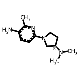 Cc1nc(N2CC[C@@H](N(C)C)C2)ccc1N